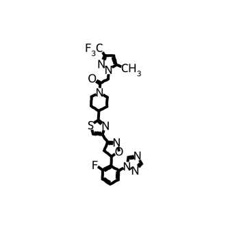 Cc1cc(C(F)(F)F)nn1CC(=O)N1CCC(c2nc(C3=NOC(c4c(F)cccc4-n4cncn4)C3)cs2)CC1